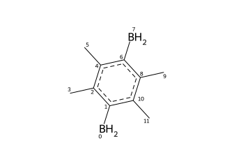 Bc1c(C)c(C)c(B)c(C)c1C